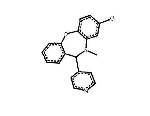 CN1c2cc(Cl)ccc2Oc2ccccc2C1c1ccncc1